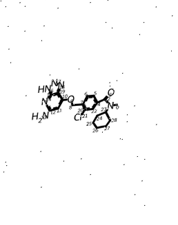 CN(C(=O)c1ccc(COc2cc(N)nc3[nH]nnc23)c(Cl)c1)C1CCCCC1